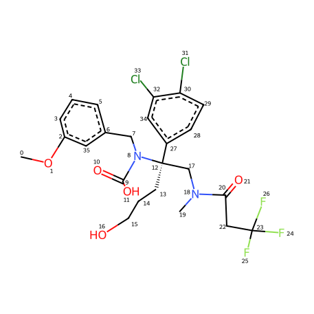 COc1cccc(CN(C(=O)O)[C@](CCCO)(CN(C)C(=O)CC(F)(F)F)c2ccc(Cl)c(Cl)c2)c1